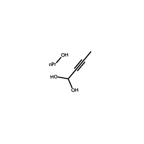 CC#CC(O)O.CCCO